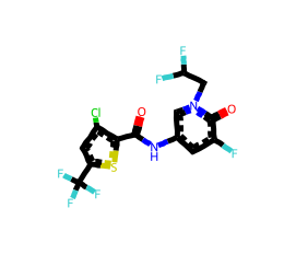 O=C(Nc1cc(F)c(=O)n(CC(F)F)c1)c1sc(C(F)(F)F)cc1Cl